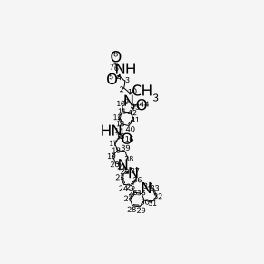 CC(CCC(=O)NC=O)N1Cc2cc(NC(=O)CC3CCN(c4ccc(-c5cccc6cccnc56)cn4)CC3)ccc2C1=O